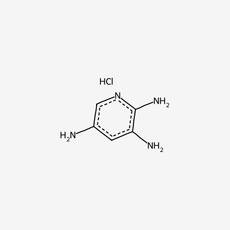 Cl.Nc1cnc(N)c(N)c1